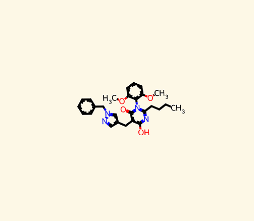 CCCCc1nc(O)c(Cc2cnn(Cc3ccccc3)c2)c(=O)n1-c1c(OC)cccc1OC